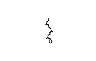 CCCC(C)=CCCC(C)=CCCC(C)=C[O]